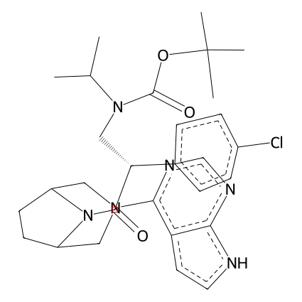 CC(C)N(C[C@@H](C(=O)N1C2CCC1CN(c1ncnc3[nH]ccc13)C2)c1ccc(Cl)cc1)C(=O)OC(C)(C)C